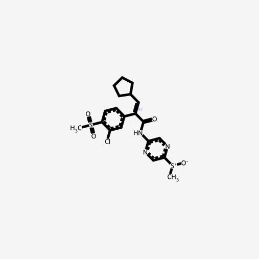 C[S+]([O-])c1cnc(NC(=O)/C(=C/C2CCCC2)c2ccc(S(C)(=O)=O)c(Cl)c2)cn1